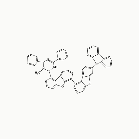 CN1C(c2ccccc2)N=C(c2ccccc2)NC1c1cccc2oc3c(-c4cccc5sc6cc(-n7c8ccccc8c8ccccc87)ccc6c45)cccc3c12